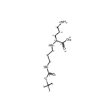 CC(C)(C)OC(=O)NCCCN[C@@H](CCCN)C(=O)O